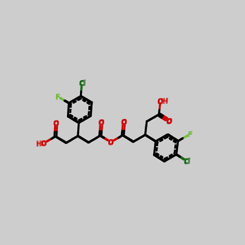 O=C(O)CC(CC(=O)OC(=O)CC(CC(=O)O)c1ccc(Cl)c(F)c1)c1ccc(Cl)c(F)c1